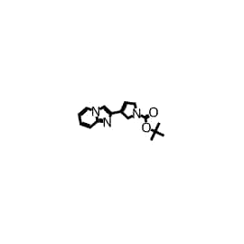 CC(C)(C)OC(=O)N1CC=C(c2cn3ccccc3n2)C1